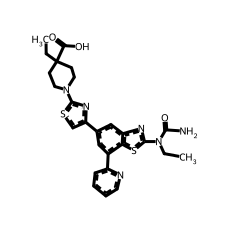 CCN(C(N)=O)c1nc2cc(-c3csc(N4CCC(CC)(C(=O)O)CC4)n3)cc(-c3ccccn3)c2s1